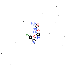 CN1C[C@H](C(=O)Nc2cccc(NC(=O)NCCC(N)=O)c2)[C@@H](c2ccc(Cl)cc2)C1